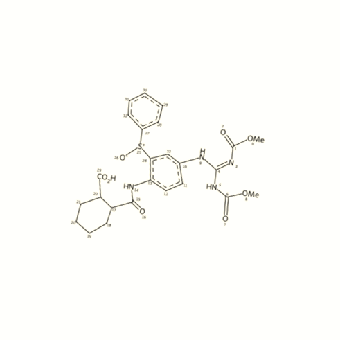 COC(=O)N=C(NC(=O)OC)Nc1ccc(NC(=O)C2CCCCC2C(=O)O)c([S+]([O-])c2ccccc2)c1